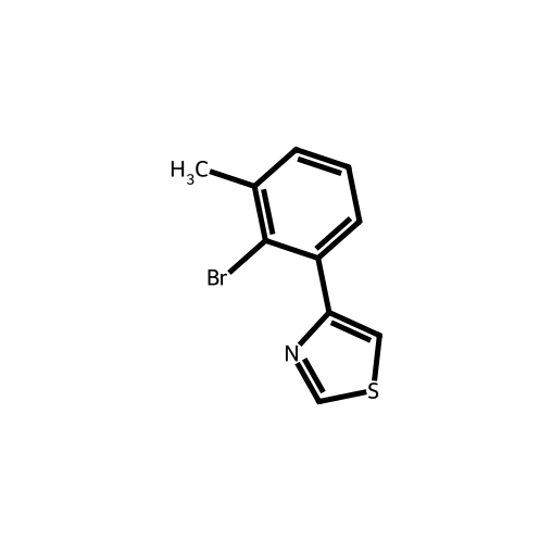 Cc1cccc(-c2cscn2)c1Br